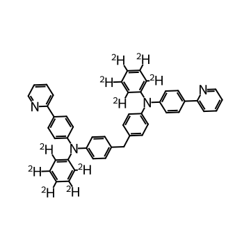 [2H]c1c([2H])c([2H])c(N(c2ccc(Cc3ccc(N(c4ccc(-c5ccccn5)cc4)c4c([2H])c([2H])c([2H])c([2H])c4[2H])cc3)cc2)c2ccc(-c3ccccn3)cc2)c([2H])c1[2H]